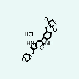 Cl.O=C1Nc2ccc(CN3C(=O)CSC3=O)cc2C1=Cc1cc(CN2CCOCC2)c[nH]1